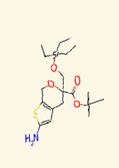 CC[Si](CC)(CC)OCC1(C(=O)OC(C)(C)C)Cc2cc(N)sc2CO1